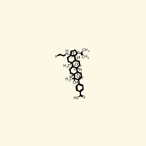 C=C(C)[C@@H]1CC[C@]2(NCCF)CC[C@]3(C)[C@H](CC[C@@H]4[C@@]5(C)CC=C(c6ccc(C(=O)O)cc6)C(C)(C)[C@@H]5CC[C@]43C)[C@@H]12